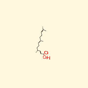 CC(C)=CCC/C(C)=C/CCC(C)/C=C/C(=O)O